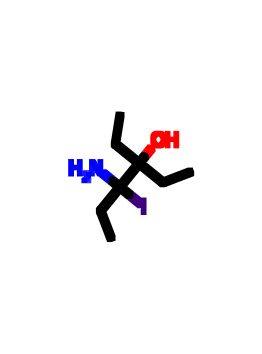 CCC(N)(I)C(O)(CC)CC